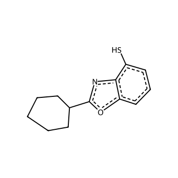 Sc1cccc2oc(C3CCCCC3)nc12